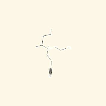 CCCC(C)[C@H](CCO)CCC#N